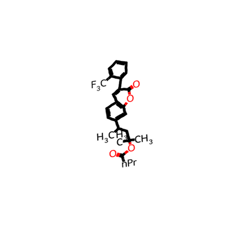 CCCC(=O)OC(C)(C)CC(C)c1ccc2cc(-c3ccccc3C(F)(F)F)c(=O)oc2c1